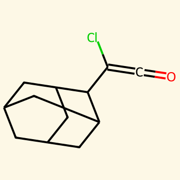 O=C=C(Cl)C1C2CC3CC(C2)CC1C3